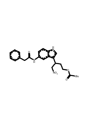 CC(C)(C)C(=O)OCCC(C[N+](=O)[O-])c1c[nH]c2ccc(NC(=O)Cc3ccccc3)cc12